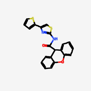 O=C(Nc1nc(-c2cccs2)cs1)C1c2ccccc2Oc2ccccc21